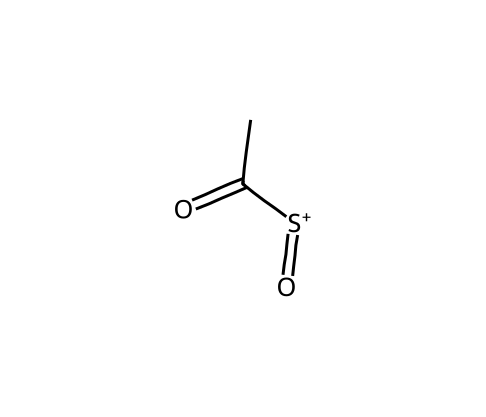 CC(=O)[S+]=O